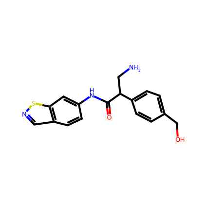 NCC(C(=O)Nc1ccc2cnsc2c1)c1ccc(CO)cc1